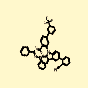 N#Cc1ccccc1-c1ccc2c(c1)c1ccccc1n2-c1cc(-c2cccc(C(F)(F)F)c2)ccc1-c1nc(-c2ccccc2)nc(-c2ccccc2)n1